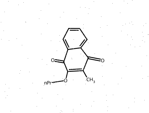 CCCOC1=C(C)C(=O)c2ccccc2C1=O